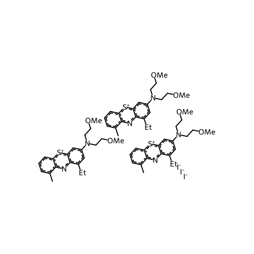 CCc1cc(N(CCOC)CCOC)cc2[s+]c3cccc(C)c3nc12.CCc1cc(N(CCOC)CCOC)cc2[s+]c3cccc(C)c3nc12.CCc1cc(N(CCOC)CCOC)cc2[s+]c3cccc(C)c3nc12.[I-].[I-].[I-]